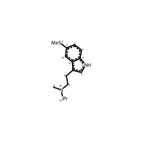 CSc1ccc2[nH]cc(CCN(C)C(C)C)c2c1